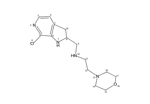 Clc1nccc2c1NC(CNCCN1CCOCC1)C2